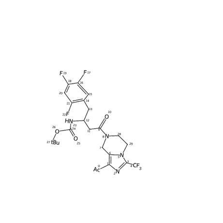 CC(=O)c1nc(C(F)(F)F)n2c1CN(C(=O)CC(Cc1cc(F)c(F)cc1F)NC(=O)OC(C)(C)C)CC2